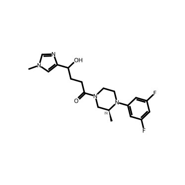 C[C@H]1CN(C(=O)CCC(O)c2cn(C)cn2)CCN1c1cc(F)cc(F)c1